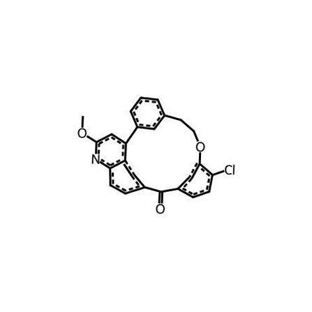 COc1cc2c3cc(ccc3n1)C(=O)c1ccc(Cl)c(c1)OCCc1cccc-2c1